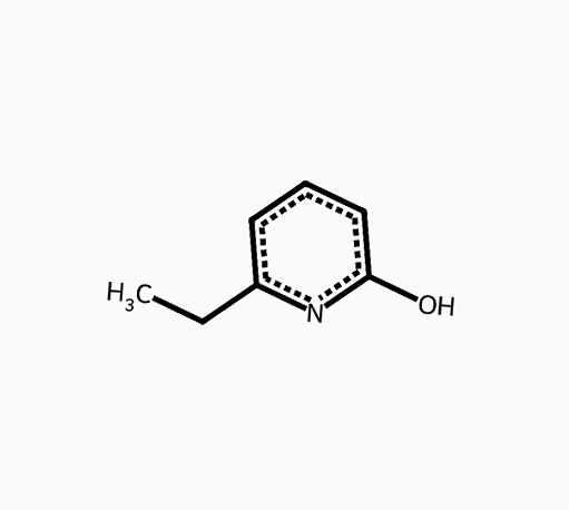 CCc1cccc(O)n1